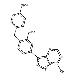 COc1ccc(Cc2ccc(-c3cnn4c(O)ncnc34)cc2OC)cc1